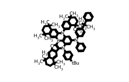 CC(C)(C)c1ccc(N2c3cc(N(c4ccccc4)c4ccc(C(C)(C)c5ccccc5)cc4)cc4c3B(c3cc5c(cc3N4c3ccc4c(c3)C(C)(C)CCC4(C)C)C(C)(C)CCC5(C)C)c3oc4cc5c(cc4c32)C(C)(C)CCC5(C)C)cc1